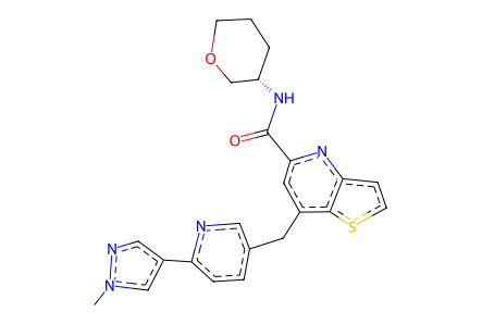 Cn1cc(-c2ccc(Cc3cc(C(=O)N[C@H]4CCCOC4)nc4ccsc34)cn2)cn1